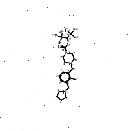 Cc1c(CN2CCCC2)cccc1CN1CCN(C(=O)OC(C(F)(F)F)C(F)(F)F)CC1